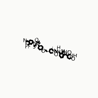 C[C@@H]1C[C@H](CCO[C@H]2CC[C@H](N3C(=S)N(c4ccc(C#N)c(C(F)(F)F)c4)C(=O)C3(C)C)CC2)C[C@H](C)N1CC(=O)Nc1cccc2c(C3CCC(=O)NC3=O)nn(C)c12